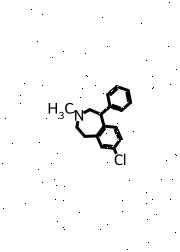 CN1CCc2cc(Cl)ccc2C(c2ccccc2)C1